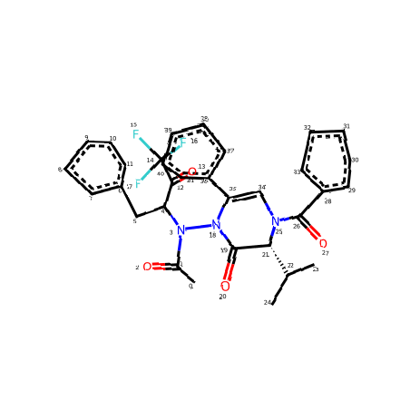 CC(=O)N(C(Cc1ccccc1)C(=O)C(F)(F)F)N1C(=O)[C@@H](C(C)C)N(C(=O)c2ccccc2)C=C1c1ccccc1